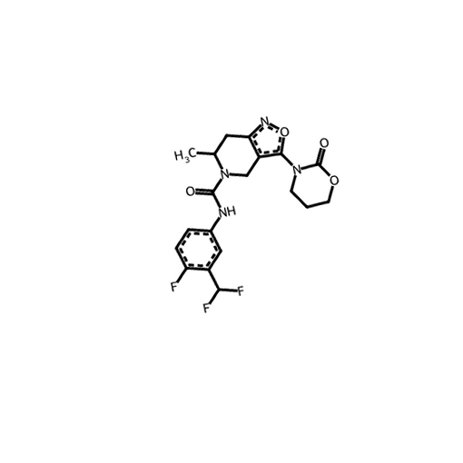 CC1Cc2noc(N3CCCOC3=O)c2CN1C(=O)Nc1ccc(F)c(C(F)F)c1